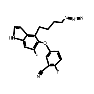 N#Cc1cc(Oc2c(F)cc3[nH]ccc3c2CCCCN=[N+]=[N-])ccc1F